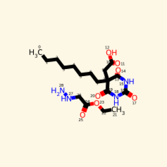 CCCCCCCCC1(CC(=O)O)C(=O)NC(=O)NC1=O.CCOC(=O)CNN